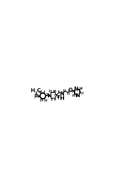 Cc1cc(N2CCC(F)(CNCCOc3cnccn3)CC2)ccc1F